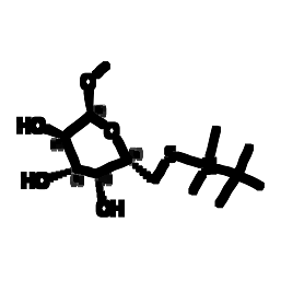 CO[C@H]1O[C@H](CS[Si](C)(C)C(C)(C)C)[C@H](O)[C@H](O)[C@H]1O